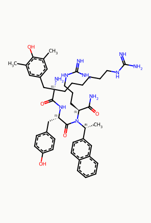 Cc1cc(C[C@@](N)(CCCCCCNC(=N)N)C(=O)N[C@@H](Cc2ccc(O)cc2)C(=O)N([C@H](C)c2ccc3ccccc3c2)[C@@H](CCCNC(=N)N)C(N)=O)cc(C)c1O